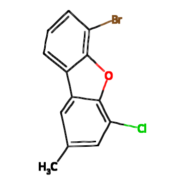 Cc1cc(Cl)c2oc3c(Br)cccc3c2c1